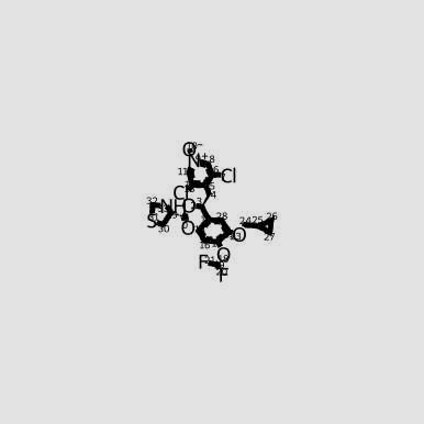 O=C(O[C@@H](Cc1c(Cl)c[n+]([O-])cc1Cl)c1ccc(OC(F)F)c(OCC2CC2)c1)[C@@H]1CSCN1